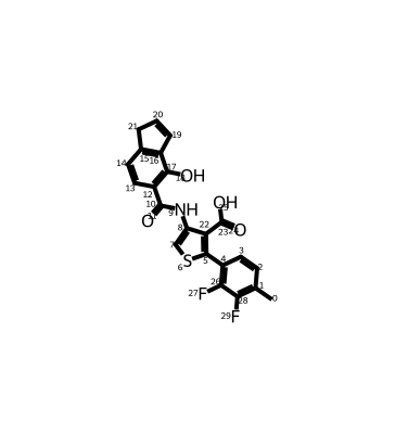 Cc1ccc(-c2scc(NC(=O)c3ccc4c(c3O)C=CC4)c2C(=O)O)c(F)c1F